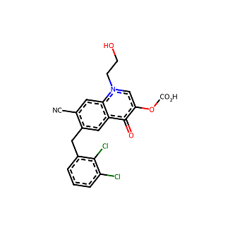 N#Cc1cc2c(cc1Cc1cccc(Cl)c1Cl)c(=O)c(OC(=O)O)cn2CCO